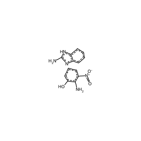 Nc1c(O)cccc1[N+](=O)[O-].Nc1nc2ccccc2[nH]1